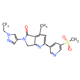 Cc1cc(-c2cncc(S(C)(=O)=O)c2)nc2c1C(=O)N(c1cnn(CC(F)(F)F)c1)C2